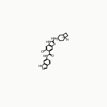 O=C(Nc1ccc2cn[nH]c2c1)c1cc2nc(N[C@@H]3CC[C@H]4CCC4C3)[nH]c2cc1Cl